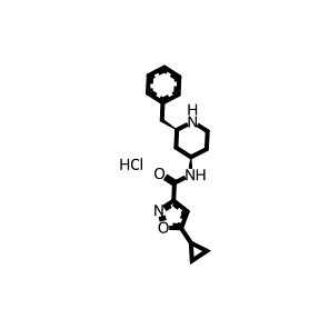 Cl.O=C(N[C@@H]1CCN[C@H](Cc2ccccc2)C1)c1cc(C2CC2)on1